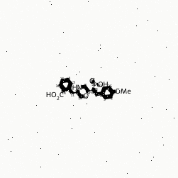 COc1ccc(CC([C@H]2CN[C@H](Cc3ccccc3C(=O)O)CO2)[PH](=O)O)cc1